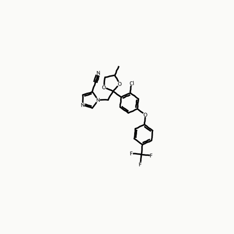 CC1COC(Cn2cncc2C#N)(c2ccc(Oc3ccc(C(F)(F)F)cc3)cc2Cl)O1